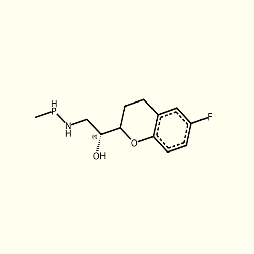 CPNC[C@@H](O)C1CCc2cc(F)ccc2O1